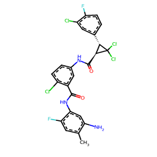 Cc1cc(F)c(NC(=O)c2cc(NC(=O)[C@H]3[C@H](c4ccc(F)c(Cl)c4)C3(Cl)Cl)ccc2Cl)cc1N